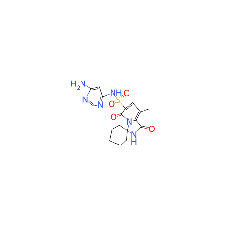 Cc1cc(S(=O)(=O)Nc2cc(N)ncn2)c(=O)n2c1C(=O)NC21CCCCC1